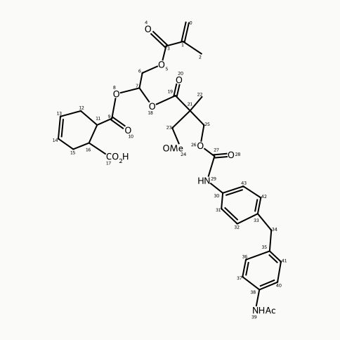 C=C(C)C(=O)OCC(OC(=O)C1CC=CCC1C(=O)O)OC(=O)C(C)(COC)COC(=O)Nc1ccc(Cc2ccc(NC(C)=O)cc2)cc1